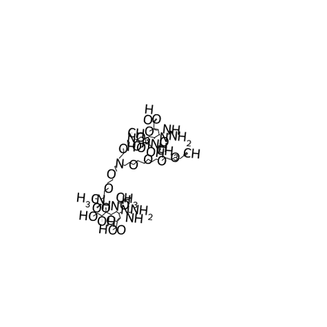 C#CCOCCOCCOCCOCCN(CCOCCOCCN(C)C(=O)O[C@@H]([C@@H]1OC(C(=O)O)=C[C@H](NC(=N)N)[C@H]1NC(C)=O)[C@H](O)CO)CCOCCN(C)C(=O)O[C@@H]([C@@H]1OC(C(=O)O)=C[C@H](NC(=N)N)[C@H]1NC(C)=O)[C@H](O)CO